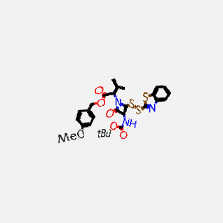 C=C(C)C(C(=O)OCc1ccc(OC)cc1)N1C(=O)C(NC(=O)OC(C)(C)C)C1SSc1nc2ccccc2s1